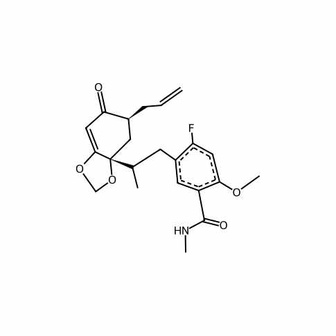 C=CC[C@H]1C[C@]2(C(C)Cc3cc(C(=O)NC)c(OC)cc3F)OCOC2=CC1=O